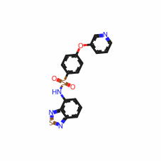 O=S(=O)(Nc1cccc2nsnc12)c1ccc(Oc2cccnc2)cc1